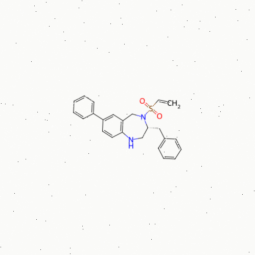 C=CS(=O)(=O)N1Cc2cc(-c3ccccc3)ccc2NC[C@H]1Cc1ccccc1